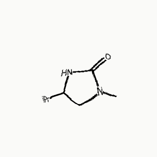 CC(C)C1CN(C)C(=O)N1